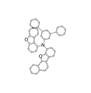 c1ccc(-c2cc(-c3ccccc3)cc(N(c3cccc4c3oc3c5ccccc5ccc43)c3cccc4oc5ccccc5c34)c2)cc1